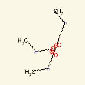 CCCCCCCC/C=C\CCCCCCCCCCCC(=O)OC[C@@H](COC(=O)CCCCCCC/C=C\CCCCCCCC)OC(=O)CCCCCCC/C=C\CCCCCCCC